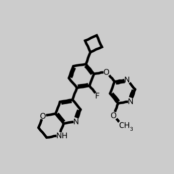 COc1cc(Oc2c(C3CCC3)ccc(-c3cnc4c(c3)OCCN4)c2F)ncn1